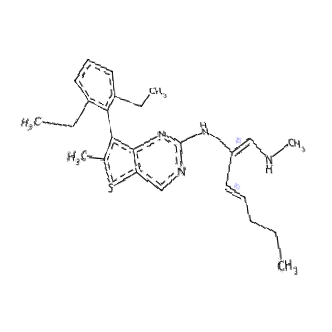 CCC/C=C/C(=C\NC)Nc1ncc2sc(C)c(-c3c(CC)cccc3CC)c2n1